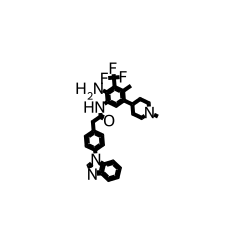 Cc1c(C2CCN(C)CC2)cc(NC(=O)Cc2ccc(-n3cnc4ccccc43)cc2)c(N)c1C(F)(F)F